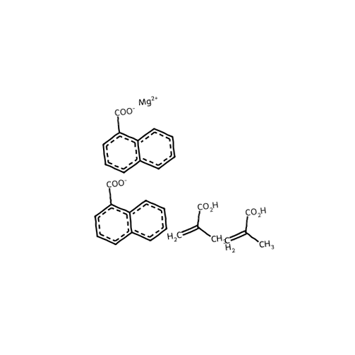 C=C(C)C(=O)O.C=C(C)C(=O)O.O=C([O-])c1cccc2ccccc12.O=C([O-])c1cccc2ccccc12.[Mg+2]